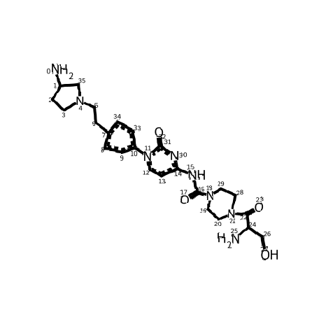 NC1CCN(CCc2ccc(-n3ccc(NC(=O)N4CCN(C(=O)C(N)CO)CC4)nc3=O)cc2)C1